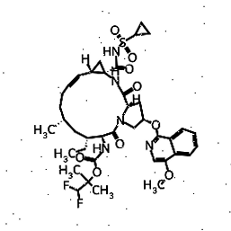 CC[C@@H]1C[C@H](C)CCC=C[C@@H]2C[C@@]2(C(=O)NS(=O)(=O)C2CC2)NC(=O)[C@@H]2C[C@@H](Oc3ncc(OC)c4ccccc34)CN2C(=O)[C@H]1NC(=O)OC(C)(C)C(F)F